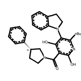 CCCCc1nc(O)c(C(=O)N2CC[C@H](c3ccccc3)C2)c(O)c1N1CCc2ccccc21